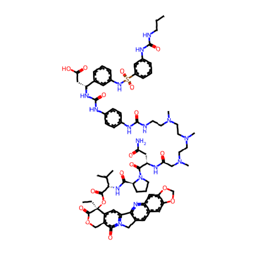 CCCNC(=O)Nc1cccc(S(=O)(=O)Nc2cccc([C@@H](CC(=O)O)NC(=O)Nc3ccc(NC(=O)NCCN(C)CCN(C)CCN(C)CC(=O)N[C@@H](CC(N)=O)C(=O)N4CCC[C@H]4C(=O)N[C@H](C(=O)O[C@]4(CC)C(=O)OCc5c4cc4n(c5=O)Cc5cc6cc7c(cc6nc5-4)OCO7)C(C)C)cc3)c2)c1